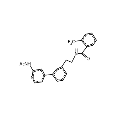 CC(=O)Nc1cc(-c2cccc(CCNC(=O)c3ccccc3C(F)(F)F)c2)ccn1